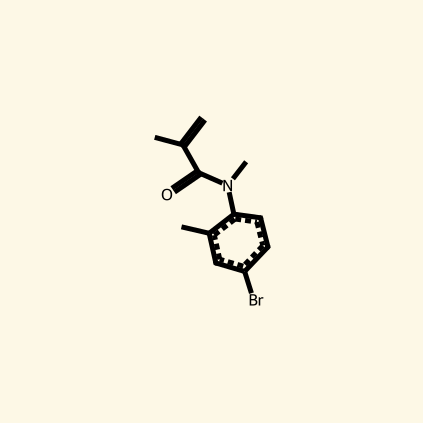 C=C(C)C(=O)N(C)c1ccc(Br)cc1C